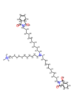 C[N+](C)(C)CCCCCCCCCCCCN(CCCCCCCCCCCCN1C(=O)c2ccccc2C1=O)CCCCCCCCCCCCN1C(=O)c2ccccc2C1=O